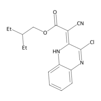 CCC(CC)COC(=O)C(C#N)=C1Nc2ccccc2N=C1Cl